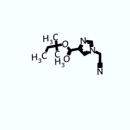 CCC(C)(C)OC(=O)c1cn(CC#N)cn1